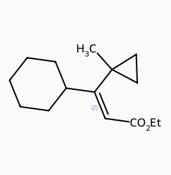 CCOC(=O)/C=C(/C1CCCCC1)C1(C)CC1